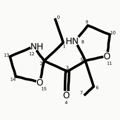 CCC1(C(=O)C2(CC)NCCO2)NCCO1